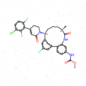 COC(=O)Nc1ccc2c(c1)NC(=O)[C@H](C)CCC[C@H](N1CCC(c3c(F)ccc(Cl)c3F)=CC1=O)c1cc(F)cc-2c1